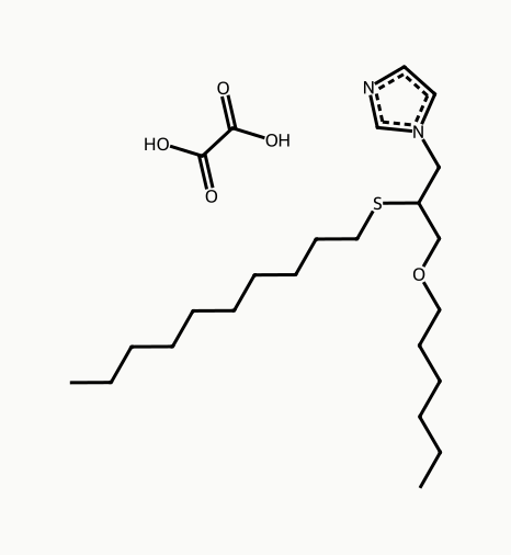 CCCCCCCCCCSC(COCCCCCC)Cn1ccnc1.O=C(O)C(=O)O